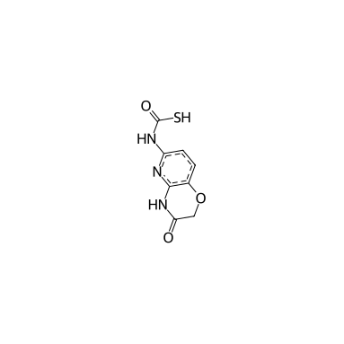 O=C(S)Nc1ccc2c(n1)NC(=O)CO2